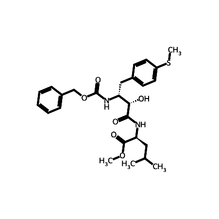 COC(=O)[C@H](CC(C)C)NC(=O)[C@@H](O)[C@@H](Cc1ccc(SC)cc1)NC(=O)OCc1ccccc1